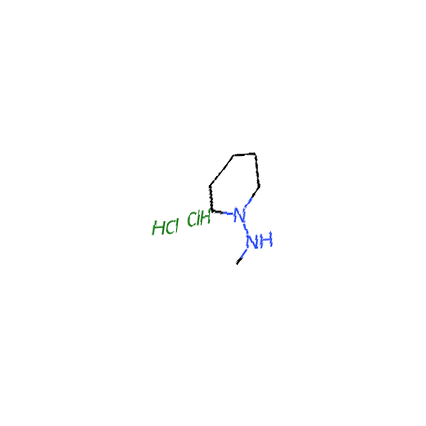 CNN1CCCCC1.Cl.Cl